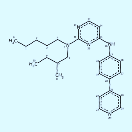 CCCCCN(CC(C)CC)c1nccc(Nc2ccc(-c3ccncc3)cc2)n1